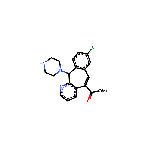 COC(=O)C1=Cc2cc(Cl)ccc2C(N2CCNCC2)c2ncccc21